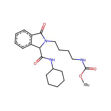 CC(C)(C)OC(=O)NCCCCN1C(=O)c2ccccc2C1C(=O)NC1CCCCC1